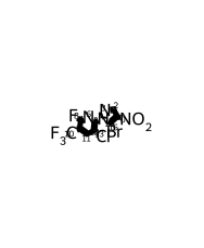 O=[N+]([O-])c1cnn(-c2nc(F)c(C(F)(F)F)cc2Cl)c1Br